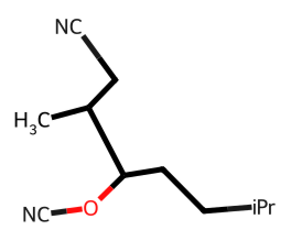 CC(C)CCC(OC#N)C(C)CC#N